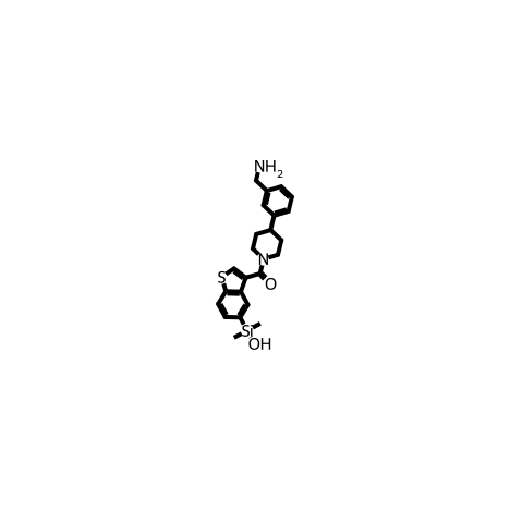 C[Si](C)(O)c1ccc2scc(C(=O)N3CCC(c4cccc(CN)c4)CC3)c2c1